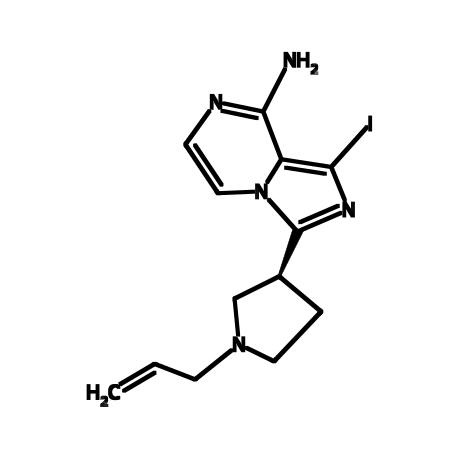 C=CCN1CC[C@H](c2nc(I)c3c(N)nccn23)C1